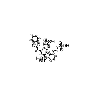 O=S(=O)(O)CCCc1cccc2oc(C=CC=C3Nc4ccccc4O3)[n+](CCCS(=O)(=O)O)c12.[KH].[OH-]